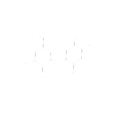 NC1C=C(CO)C(OC2OC(CO)C(O)C(O)C2O)C(O)C1O